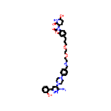 Nc1nnc(-c2ccccc2O)cc1N1CCN(c2ccc(CNCCOCCOCCCc3ccc4c(c3)oc(=O)n4C3CCC(O)NC3=O)cc2)CC1